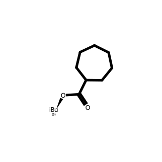 CC[C@H](C)OC(=O)C1CCCCCC1